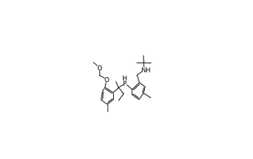 CCC(C)(Pc1ccc(C)cc1CNC(C)(C)C)c1cc(C)ccc1OCOC